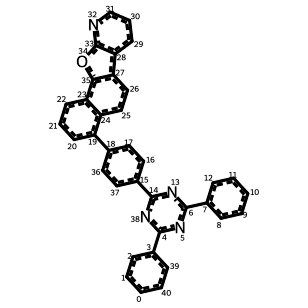 c1ccc(-c2nc(-c3ccccc3)nc(-c3ccc(-c4cccc5c4ccc4c6cccnc6oc54)cc3)n2)cc1